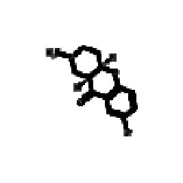 CN1CC[C@H]2Oc3ccc(Br)cc3C(=O)[C@H]2C1